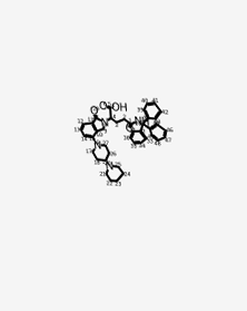 O=C(CCC(C(=O)O)N1Cc2c(cccc2N2CCC(N3CCCCC3)CC2)C1=O)NC(c1ccccc1)(c1ccccc1)c1ccccc1